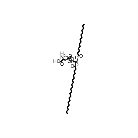 CCCCCCCCCCCCCCCCCCCCCC(=O)O[C@H](COC(=O)CCCCCCCCCCCCCC)COP(=O)(O)OC[C@H](N)C(=O)O